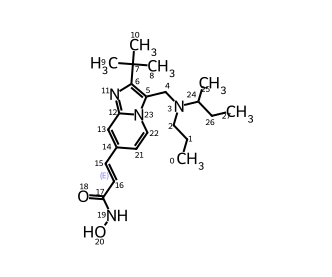 CCCN(Cc1c(C(C)(C)C)nc2cc(/C=C/C(=O)NO)ccn12)C(C)CC